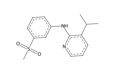 CC(C)c1cccnc1Nc1cccc(S(C)(=O)=O)c1